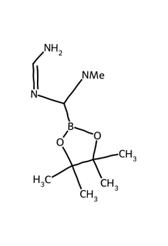 CNC(/N=C\N)B1OC(C)(C)C(C)(C)O1